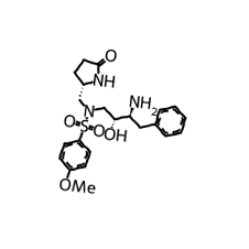 COc1ccc(S(=O)(=O)N(C[C@@H]2CCC(=O)N2)C[C@@H](O)[C@@H](N)Cc2ccccc2)cc1